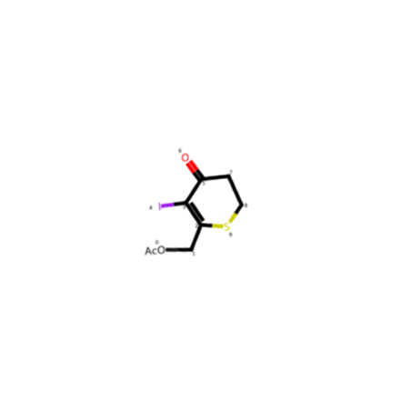 CC(=O)OCC1=C(I)C(=O)CCS1